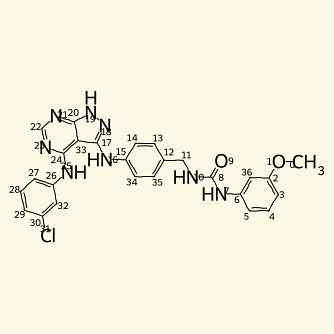 COc1cccc(NC(=O)NCc2ccc(Nc3n[nH]c4ncnc(Nc5cccc(Cl)c5)c34)cc2)c1